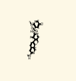 CNc1cc2ccc(-c3c(F)cnc(NS(=O)(=O)c4cc(Cl)cnc4OC)c3F)cc2cn1